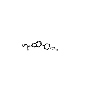 CN1CCC(c2ccc3cc(NC=O)sc3c2)CC1